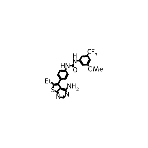 CCc1sc2ncnc(N)c2c1-c1ccc(NC(=O)Nc2cc(OC)cc(C(F)(F)F)c2)cc1